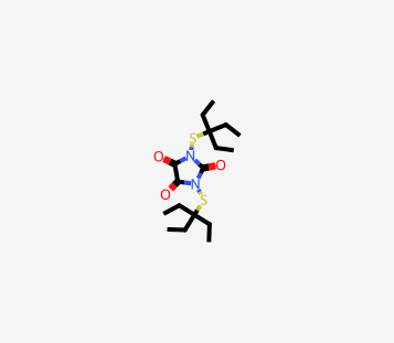 CCC(CC)(CC)SN1C(=O)C(=O)N(SC(CC)(CC)CC)C1=O